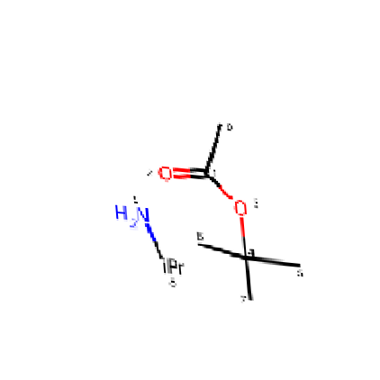 CC(=O)OC(C)(C)C.CC(C)N